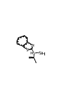 C=C(C)[SH](S)c1nc2ccccc2s1